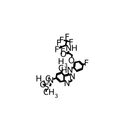 Cc1cc(N(C)C[S+](C)[O-])cc2ncnc(Nc3ccc(F)cc3OCC(=O)NC(C(F)(F)F)C(F)(F)F)c12